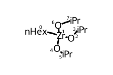 CCCCC[CH2][Zr]([O]C(C)C)([O]C(C)C)[O]C(C)C